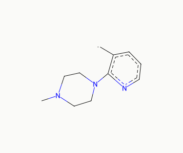 [CH2]c1cccnc1N1CCN(C)CC1